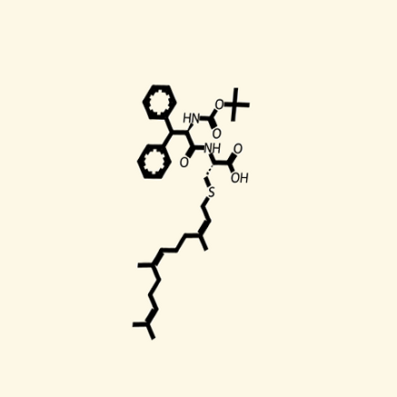 CC(C)=CCCC(C)=CCCC(C)=CCSC[C@H](NC(=O)[C@H](NC(=O)OC(C)(C)C)C(c1ccccc1)c1ccccc1)C(=O)O